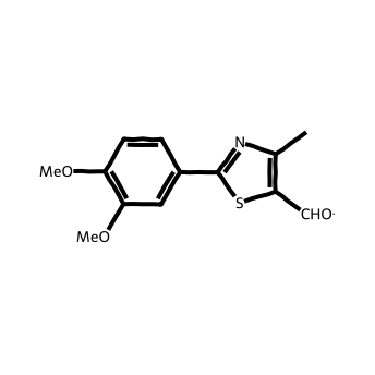 COc1ccc(-c2nc(C)c([C]=O)s2)cc1OC